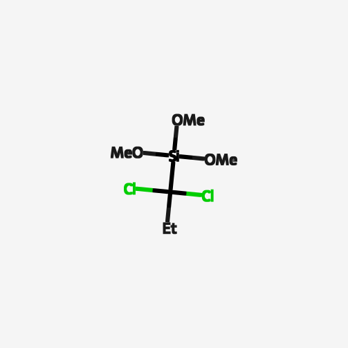 CCC(Cl)(Cl)[Si](OC)(OC)OC